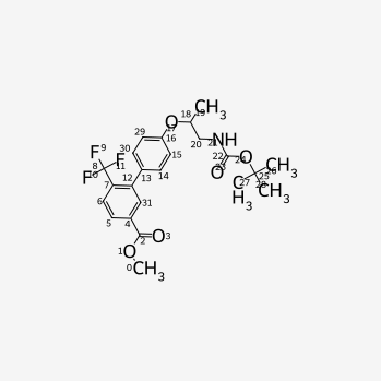 COC(=O)c1ccc(C(F)(F)F)c(-c2ccc(OC(C)CNC(=O)OC(C)(C)C)cc2)c1